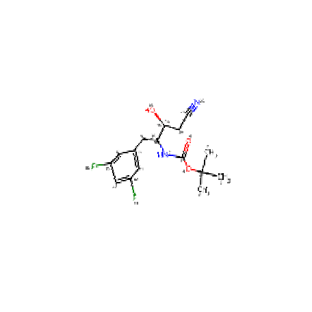 CC(C)(C)OC(=O)N[C@@H](Cc1cc(F)cc(F)c1)[C@@H](O)CC#N